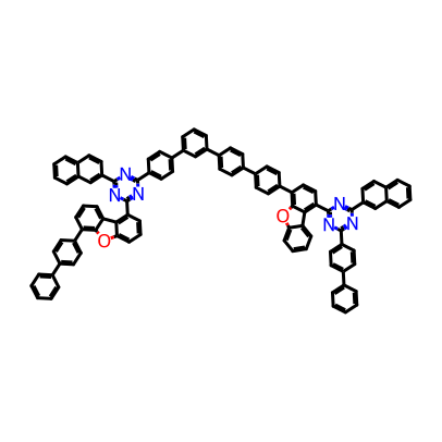 c1ccc(-c2ccc(-c3nc(-c4ccc5ccccc5c4)nc(-c4ccc(-c5ccc(-c6ccc(-c7cccc(-c8ccc(-c9nc(-c%10ccc%11ccccc%11c%10)nc(-c%10cccc%11oc%12c(-c%13ccc(-c%14ccccc%14)cc%13)cccc%12c%10%11)n9)cc8)c7)cc6)cc5)c5oc6ccccc6c45)n3)cc2)cc1